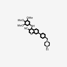 CCN1CCN(Cc2ccc(-c3ccc4c(Nc5cc(OC)c(OC)c(OC)c5)c(C#N)cnc4c3)cc2)CC1